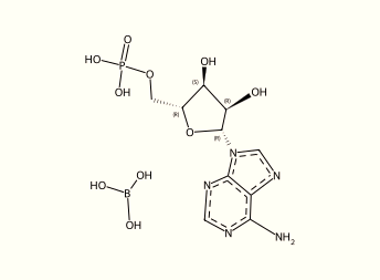 Nc1ncnc2c1ncn2[C@@H]1O[C@H](COP(=O)(O)O)[C@@H](O)[C@H]1O.OB(O)O